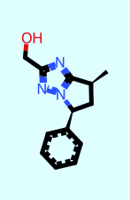 C[C@H]1C[C@@H](c2ccccc2)n2nc(CO)nc21